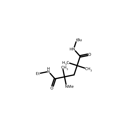 CCNC(=O)C(C)(CC(C)(C)C(=O)NC(C)(C)C)NC